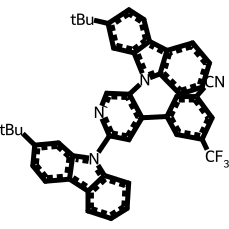 CC(C)(C)c1ccc2c3ccccc3n(-c3cc(-c4cc(C#N)cc(C(F)(F)F)c4)c(-n4c5ccccc5c5ccc(C(C)(C)C)cc54)cn3)c2c1